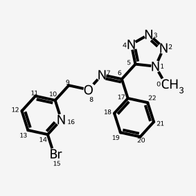 Cn1nnnc1/C(=N/OCc1cccc(Br)n1)c1ccccc1